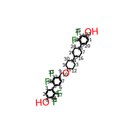 Oc1ccc(-c2ccc(COC3CCC(C4CCC(c5ccc(O)c(F)c5F)CC4)CC3)c(F)c2F)c(F)c1F